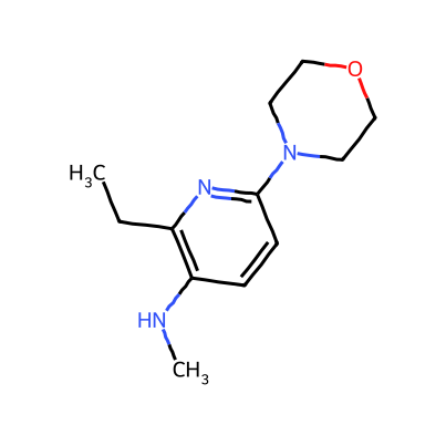 CCc1nc(N2CCOCC2)ccc1NC